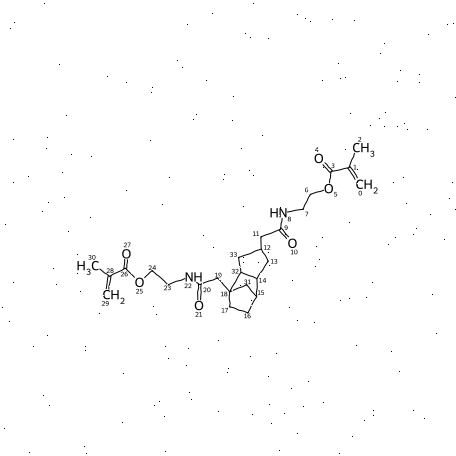 C=C(C)C(=O)OCCNC(=O)CC1CC2C3CCC(CC(=O)NCCOC(=O)C(=C)C)(C3)C2C1